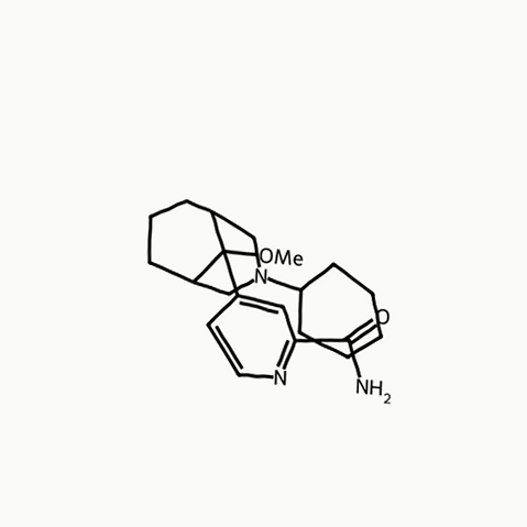 COC1(c2ccnc(C(N)=O)c2)C2CCCC1CN(C1CCCCC1)C2